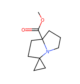 COC(=O)C12CCCN1C1(CC1)CC2